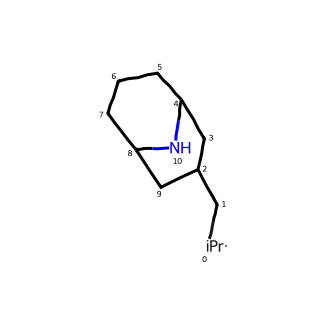 C[C](C)CC1CC2CCCC(C1)N2